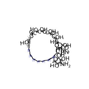 CNC(=O)N[C@H]1[C@@H]2CC(OC3O[C@H](C)[C@@H](O)[C@H](N)[C@@H]3O)/C=C/C=C/C=C/C=C/C=C/C=C/C=C/[C@H](C)[C@@H](O)[C@@H](C)[C@H](C)OC(=O)C[C@H](O)C[C@H](O)CC[C@@H](O)[C@H](O)C[C@H](O)C[C@](O)(C[C@@H]1O)O2